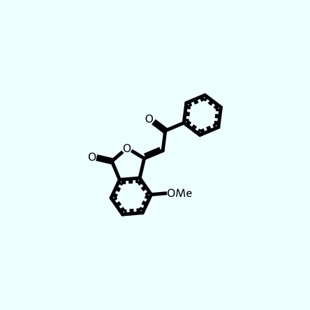 COc1cccc2c1C(=CC(=O)c1ccccc1)OC2=O